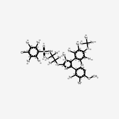 [3H]c1c(OC)ccc(-c2nc(SC([3H])([3H])C([3H])([3H])NS(=O)(=O)c3c([3H])c([3H])c(Cl)c([3H])c3[3H])n([3H])c2-c2c([3H])c([3H])c(OC([3H])([3H])[3H])c([3H])c2[3H])c1[3H]